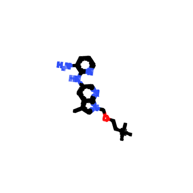 Cc1cn(COCC[Si](C)(C)C)c2ncc(Nc3ncccc3N)cc12